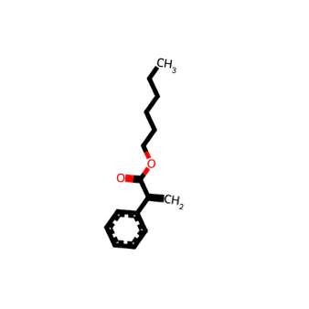 C=C(C(=O)OCCCCCC)c1ccccc1